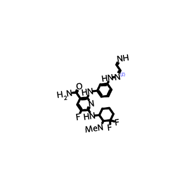 CNC1C(Nc2nc(Nc3cccc(N/N=C\C=N)c3)c(C(N)=O)cc2F)CCCC1(F)F